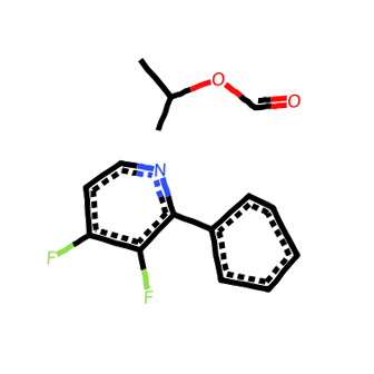 CC(C)OC=O.Fc1ccnc(-c2ccccc2)c1F